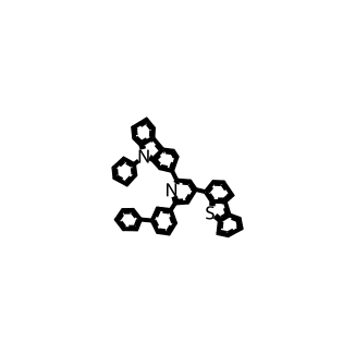 c1ccc(-c2cccc(-c3cc(-c4cccc5c4sc4ccccc45)cc(-c4ccc5c6ccccc6n(-c6ccccc6)c5c4)n3)c2)cc1